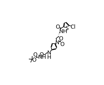 CC(C)(C)OC(=O)NOCCNc1ccc(N2C[C@H](CNC(=O)c3ccc(Cl)s3)OC2=O)cc1